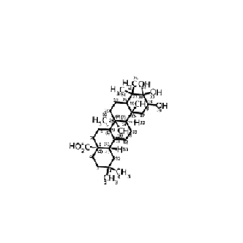 CC1(C)CC[C@]2(C(=O)O)CC[C@]3(C)C(=CC[C@@H]4[C@@]5(C)CC(O)C(O)(O)C(C)(C)C5CC[C@]43C)[C@@H]2C1